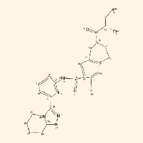 CC(C)C[C@H](O)C(=O)N1CCc2cc(F)c(C(=O)Nc3cccc(-c4nnc5n4CCCC5)n3)cc2C1